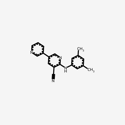 Cc1cc(C)cc(Nc2ncc(-c3cccnc3)cc2C#N)c1